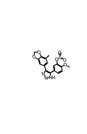 COc1ccc(-c2[nH]nnc2-c2cc(C)c3c(c2)OCO3)cc1O[SH](=O)=O